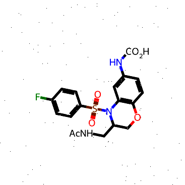 CC(=O)NCC1COc2ccc(NC(=O)O)cc2N1S(=O)(=O)c1ccc(F)cc1